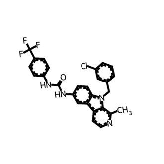 Cc1nccc2c3cc(NC(=O)Nc4ccc(C(F)(F)F)cc4)ccc3n(Cc3cccc(Cl)c3)c12